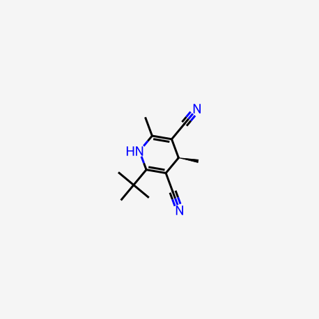 CC1=C(C#N)[C@@H](C)C(C#N)=C(C(C)(C)C)N1